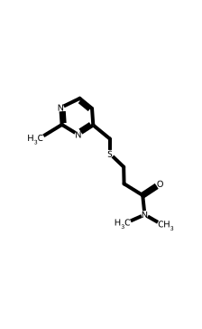 Cc1nccc(CSCCC(=O)N(C)C)n1